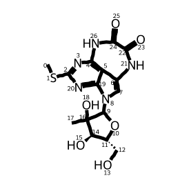 CSc1nc2c3c(cn(C4O[C@H](CO)[C@@H](O)C4(C)O)c3n1)NC(=O)C(=O)N2